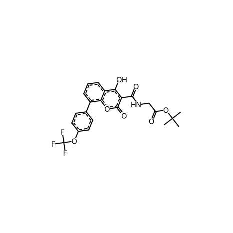 CC(C)(C)OC(=O)CNC(=O)c1c(O)c2cccc(-c3ccc(OC(F)(F)F)cc3)c2oc1=O